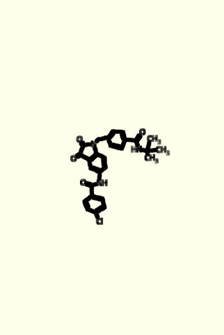 CC(C)(C)NC(=O)c1ccc(CN2C(=O)C(=O)c3cc(NC(=O)c4ccc(Cl)cc4)ccc32)cc1